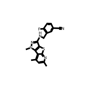 Cc1cc(C)c2c(n1)sc1c(NCc3cc(C#N)ccc3F)nn(C)c12